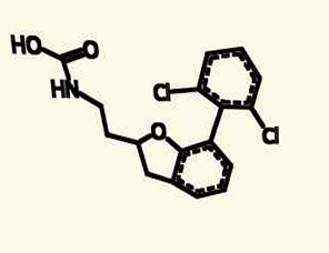 O=C(O)NCCC1Cc2cccc(-c3c(Cl)cccc3Cl)c2O1